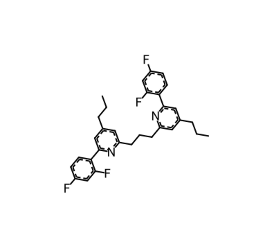 CCCc1cc(CCCc2cc(CCC)cc(-c3ccc(F)cc3F)n2)nc(-c2ccc(F)cc2F)c1